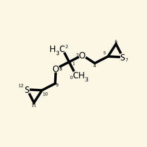 CC(C)(OCC1CS1)OCC1CS1